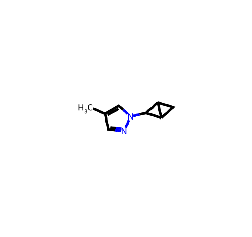 Cc1cnn(C2C3CC32)c1